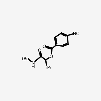 [C-]#[N+]c1ccc(C(=O)OC(C(=O)NC(C)(C)C)C(C)C)cc1